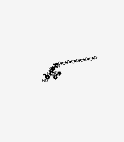 CCc1cc(O)ccc1N=C(N)c1cnn2cc(-c3cnc(OCCOCCOCCOCCOCCOCCOCCOCCOC)cc3C)cc2c1NC[C@H]1CCCN1C(=O)OC(C)(C)C